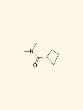 CN(C)C(=O)C1CCC1